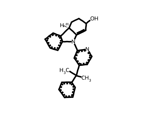 CC(C)(c1ccccc1)c1ccnc(N2C3=CC(O)CC[C@@H]3c3ccccc32)c1